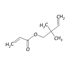 C=CC(=O)OCC(C)(C)C=C